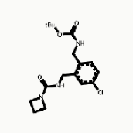 CC(C)(C)OC(=O)NCc1ccc(Cl)cc1CNC(=O)N1CCC1